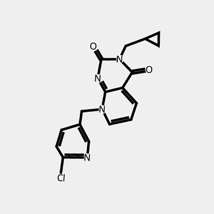 O=c1nc2n(Cc3ccc(Cl)nc3)cccc-2c(=O)n1CC1CC1